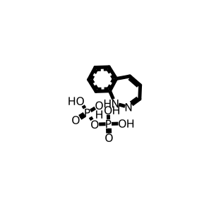 C1=Cc2ccccc2NN=C1.O=P(O)(O)OP(=O)(O)O